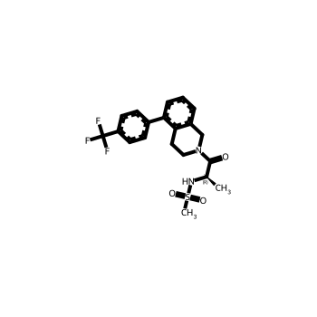 C[C@@H](NS(C)(=O)=O)C(=O)N1CCc2c(cccc2-c2ccc(C(F)(F)F)cc2)C1